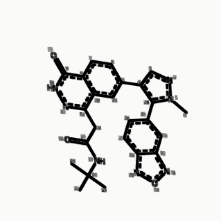 Cn1ncc(-c2ccc3c(=O)[nH]nc(CC(=O)NC(C)(C)C)c3c2)c1-c1ccc2nonc2c1